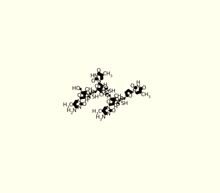 Cc1cn([C@@H]2O[C@]3(CO)C(OP(=O)(S)OC[C@]45O[C@@H](n6cc(C)c(=O)[nH]c6=O)[C@@H](O[C@H]4C)C5OP(=O)(S)OC[C@]45O[C@@H](n6cc(C)c(N)nc6=O)[C@@H](O[C@H]4C)C5OP(=O)(S)OC[C@@H]4CC[C@H](n5cc(C)c(=O)[nH]c5=O)O4)[C@@H]2O[C@H]3C)c(=O)nc1N